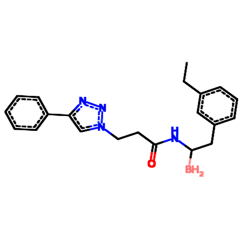 BC(Cc1cccc(CC)c1)NC(=O)CCn1cc(-c2ccccc2)nn1